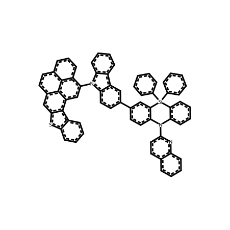 c1ccc([Si]2(c3ccccc3)c3ccccc3N(c3ccc4ccccc4n3)c3ccc(-c4ccc5c(c4)c4ccccc4n5-c4cc5c6c(cc7ccc8cccc4c8c75)sc4ccccc46)cc32)cc1